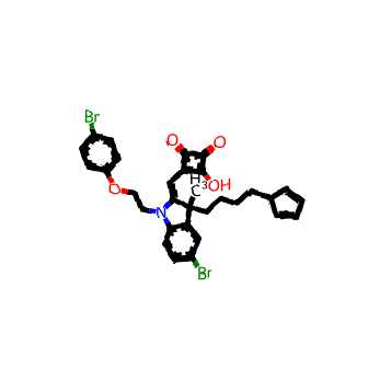 CC1(CCCCC2C=CC=C2)/C(=C\c2c(O)c(=O)c2=O)N(CCOc2ccc(Br)cc2)c2ccc(Br)cc21